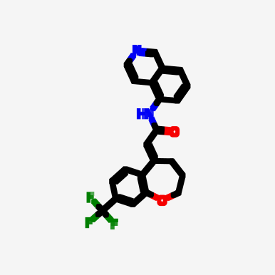 O=C(/C=C1\CCCOc2cc(C(F)(F)F)ccc21)Nc1cccc2cnccc12